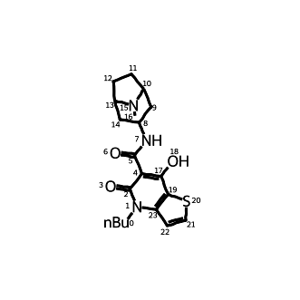 CCCCn1c(=O)c(C(=O)NC2CC3CCC(C2)N3C)c(O)c2sccc21